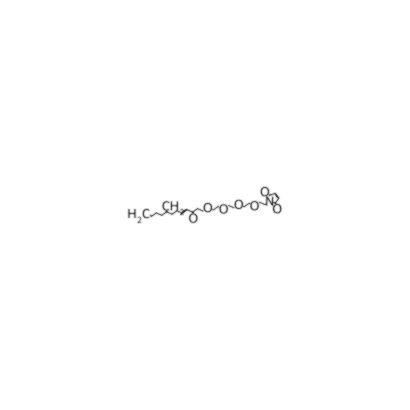 C=CCCC(=C)CC/C=C/C(=O)CCOCCOCCOCCOCCN1C(=O)C=CC1=O